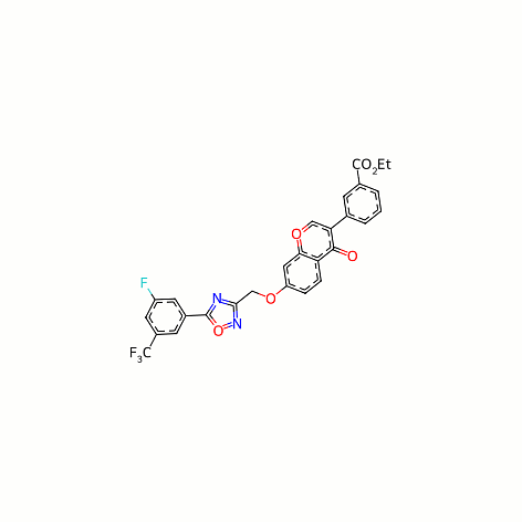 CCOC(=O)c1cccc(-c2coc3cc(OCc4noc(-c5cc(F)cc(C(F)(F)F)c5)n4)ccc3c2=O)c1